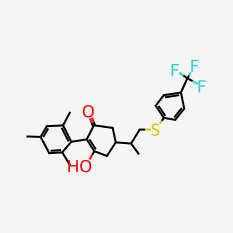 Cc1cc(C)c(C2=C(O)CC(C(C)CSc3ccc(C(F)(F)F)cc3)CC2=O)c(C)c1